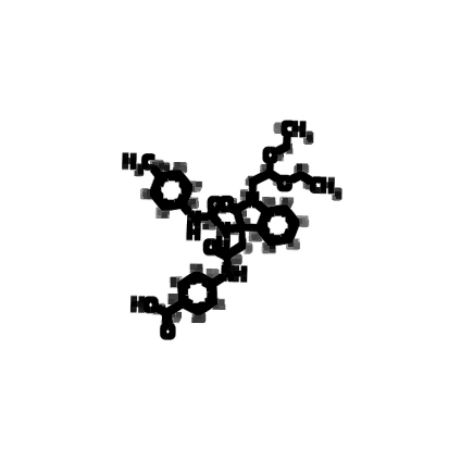 CCOC(CN1C(=O)[C@@](CC(=O)Nc2ccc(C(=O)O)cc2)(NC(=O)Nc2ccc(C)cc2)c2ccccc21)OCC